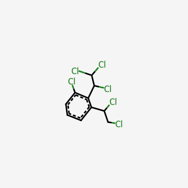 ClCC(Cl)c1cccc(Cl)c1C(Cl)C(Cl)Cl